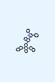 c1ccc(-c2cc(-c3ccccc3)nc(-c3ccc(-c4ccc5c(-c6ccc7ccccc7c6)c6ccccc6c(-c6ccc7ccccc7c6)c5c4)c4ccccc34)c2)cc1